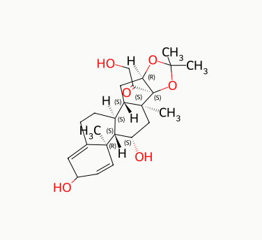 CC1(C)O[C@@H]2C[C@H]3[C@@H]4CCC5=CC(O)C=C[C@]5(C)[C@H]4[C@@H](O)C[C@]3(C)[C@]2(C(=O)CO)O1